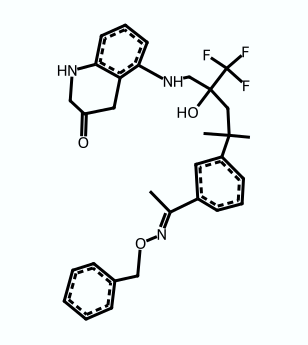 CC(=NOCc1ccccc1)c1cccc(C(C)(C)CC(O)(CNc2cccc3c2CC(=O)CN3)C(F)(F)F)c1